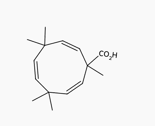 CC1(C)/C=C\C(C)(C)/C=C\C(C)(C(=O)O)/C=C\1